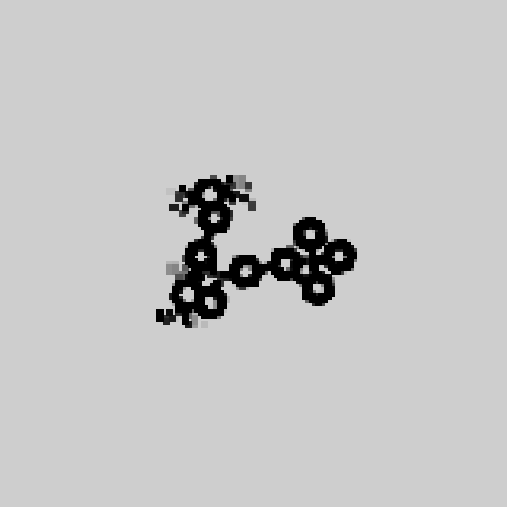 CC1(C)CCC(C)(C)c2cc(-c3cccc(N(c4ccc(-c5ccc6c(c5)-c5ccccc5[Si]6(c5ccccc5)c5ccccc5)cc4)c4cccc5c4C(C)(C)CCC5(C)C)c3)ccc21